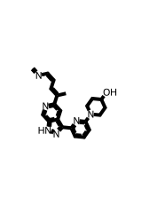 C=N/C=C\C=C(/C)c1cc2c(-c3cccc(N4CCC(O)CC4)n3)n[nH]c2cn1